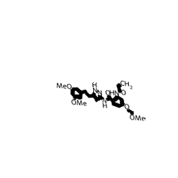 C=CC(=O)Nc1cc(OCCOC)ccc1C(=O)Nc1cc(CCc2cc(OC)cc(OC)c2)[nH]n1